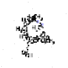 COc1cc2cc(c1Cl)N(C)C(=O)CC(OC(=O)CCCCC(=O)O)C1(C)OC1C(C)C1CC(O)(NC(=O)O1)C(OC)/C=C/C=C(\C)C2